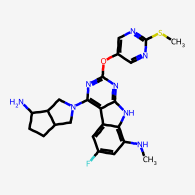 CNc1cc(F)cc2c1[nH]c1nc(Oc3cnc(SC)nc3)nc(N3CC4CCC(N)C4C3)c12